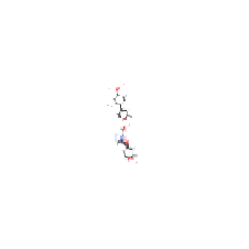 CCc1cc(C(=O)O)ccc1-c1ccc(OCCN[C@H](C)[C@@H](O)c2ccc(O)cc2)c(C)c1